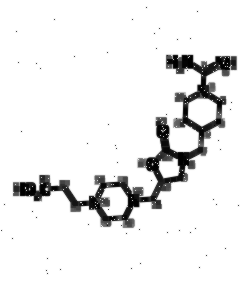 N=C(N)N1CCC(CN2CC(CN3CCN(CCC(=O)O)CC3)OC2=O)CC1